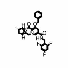 C[C@H]1C[C@@H]2C[C@H]1N1C(=O)C3=C(OCc4ccccc4)CC(C(=O)NCc4c(F)cc(F)cc4F)=CN3CC21